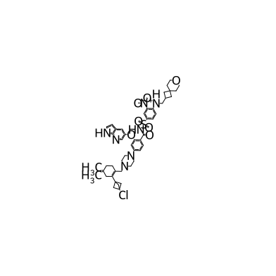 CC1(C)CCC(CN2CCN(c3ccc(C(=O)NS(=O)(=O)c4ccc(NCC5CC6(CCOCC6)C5)c([N+](=O)[O-])c4)c(Oc4cnc5[nH]ccc5c4)c3)CC2)=C(C23CC(Cl)(C2)C3)C1